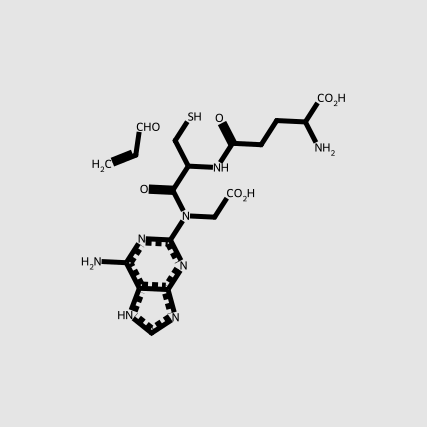 C=CC=O.Nc1nc(N(CC(=O)O)C(=O)C(CS)NC(=O)CCC(N)C(=O)O)nc2nc[nH]c12